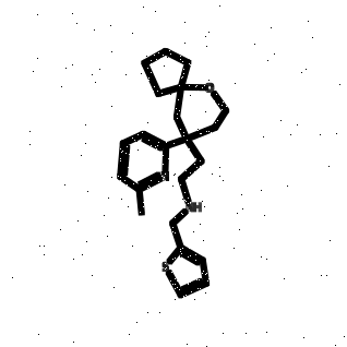 Cc1cccc(C2(CCNCc3cccs3)CCOC3(CCCC3)C2)n1